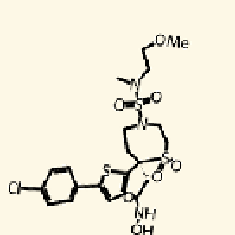 COCCN(C)S(=O)(=O)N1CC[C@](CC(=O)NO)(c2ccc(-c3ccc(Cl)cc3)s2)S(=O)(=O)CC1